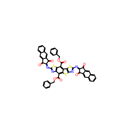 O=C(OCc1ccccc1)c1c2nc(N=c3c(=O)c4cc5ccccc5cc4c3=O)sc2c(C(=O)OCc2ccccc2)c2c1sc1nc(N=c3c(=O)c4cc5ccccc5cc4c3=O)sc12